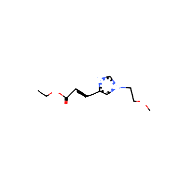 CCOC(=O)C=Cc1cn(CCOC)cn1